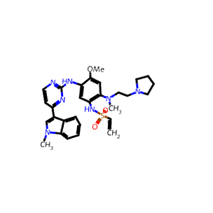 C=CS(=O)(=O)Nc1cc(Nc2nccc(-c3cn(C)c4ccccc34)n2)c(OC)cc1N(C)CCN1CCCC1